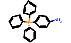 Nc1ccc([PH](c2ccccc2)(c2ccccc2)c2ccccc2)cc1